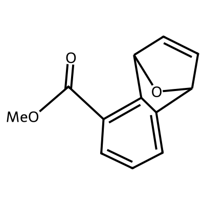 COC(=O)c1cccc2c1C1C=CC2O1